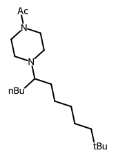 CCCCC(CCCCCC(C)(C)C)N1CCN(C(C)=O)CC1